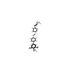 C/C=C/[C@H]1CC[C@H](CC[C@H]2CC[C@H](c3cc(F)c(C(F)(F)F)c(F)c3)CC2)CC1